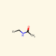 CCCNC(C)=O